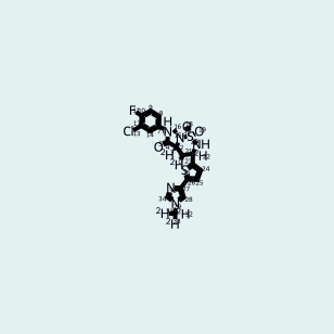 [2H]C1[C@]([2H])(C(=O)Nc2ccc(F)c(Cl)c2)N(C)S(=O)(=O)N[C@]1([2H])c1ccc(-c2cn(C([2H])([2H])[2H])cn2)s1